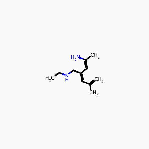 C=C(C)/C=C(\C=C(\C)N)CNCC